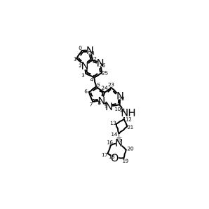 c1cn2cc(-c3ccn4nc(N[C@H]5C[C@@H](N6CCOCC6)C5)ncc34)cnc2n1